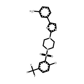 Cc1cccc(-c2csc(N3CCN(S(=O)(=O)c4cc(C(F)(F)F)ccc4Cl)CC3)n2)c1